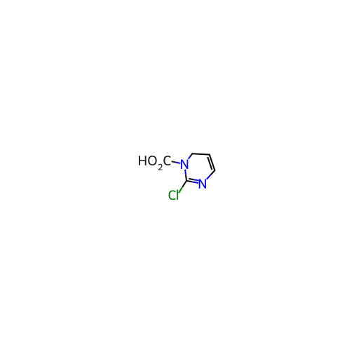 O=C(O)N1CC=CN=C1Cl